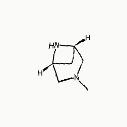 CN1C[C@H]2C[C@@H](C1)N2